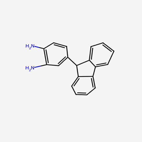 Nc1ccc(C2c3ccccc3-c3ccccc32)cc1N